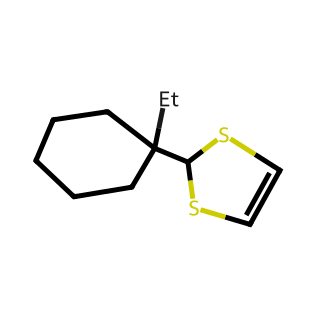 CCC1(C2SC=CS2)CCCCC1